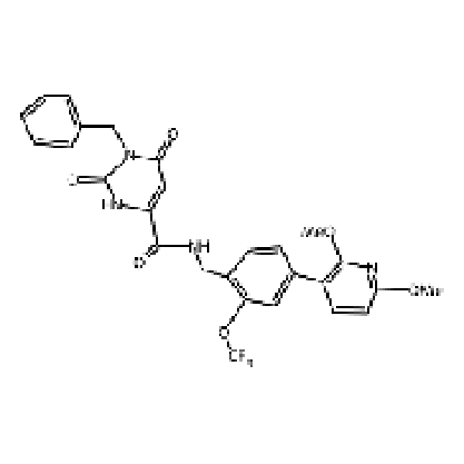 COc1ccc(-c2ccc(CNC(=O)c3cc(=O)n(Cc4ccccc4)c(=O)[nH]3)c(OC(F)(F)F)c2)c(OC)n1